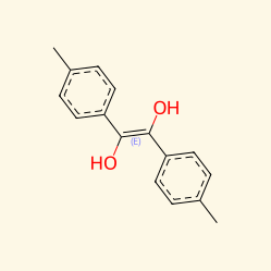 Cc1ccc(/C(O)=C(\O)c2ccc(C)cc2)cc1